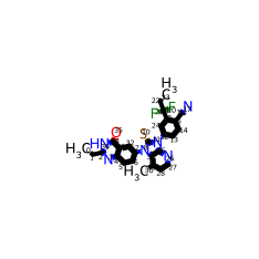 CCc1nc2ccc(-n3c(=S)n(-c4ccc(C#N)c(C(F)(F)CC)c4)c4nccc(C)c43)cc2c(=O)[nH]1